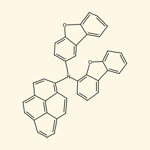 c1cc2ccc3ccc(N(c4ccc5oc6ccccc6c5c4)c4cccc5c4oc4ccccc45)c4ccc(c1)c2c34